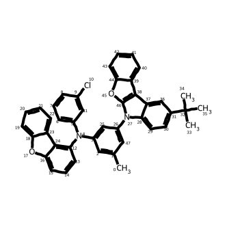 Cc1cc(N(c2cccc(Cl)c2)c2cccc3oc4ccccc4c23)cc(-n2c3ccc(C(C)(C)C)cc3c3c4ccccc4oc32)c1